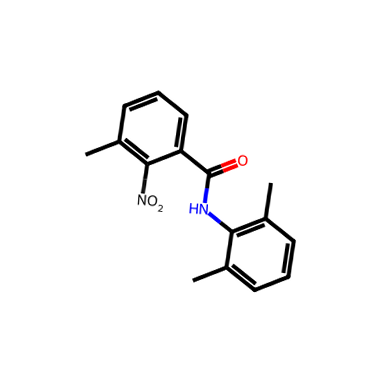 Cc1cccc(C)c1NC(=O)c1cccc(C)c1[N+](=O)[O-]